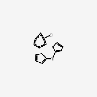 C1=CC[C]([Ti][C]2=CC=CC2)=C1.Clc1ccccc1